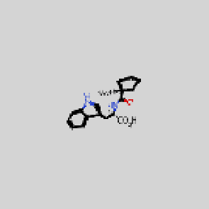 CNC1(C(=O)N[C@@H](Cc2c[nH]c3ccccc23)C(=O)O)CCCC1